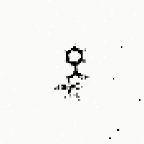 NS(=O)(=O)CC(=O)c1ccccc1